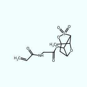 C=CC(=O)NCC(=O)OC1C2CC3(C)OS(=O)(=O)C1C3O2